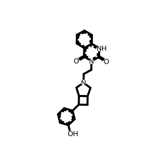 O=c1[nH]c2ccccc2c(=O)n1CCN1CC2CC(c3cccc(O)c3)C2C1